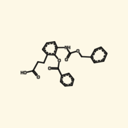 O=C(O)CCc1cccc(NC(=O)OCc2ccccc2)c1OC(=O)c1ccccc1